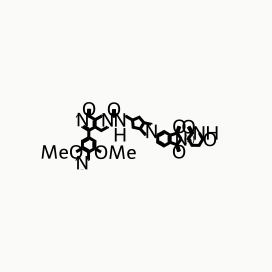 COc1cc(-c2cn(C)c(=O)c3c2CCN(C(=O)NCC2CC4CN(c5ccc6c(c5)C(=O)N([C@H]5CCC(=O)NC5=O)C6=O)CC4C2)C3)cc(OC)c1CN(C)C